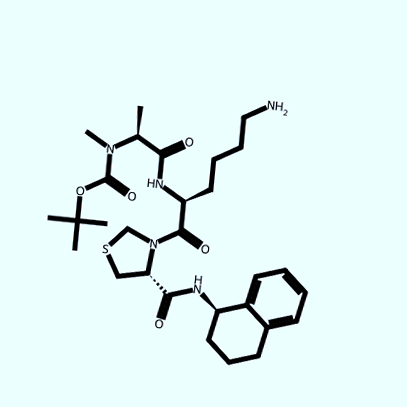 C[C@@H](C(=O)N[C@@H](CCCCN)C(=O)N1CSC[C@H]1C(=O)N[C@@H]1CCCc2ccccc21)N(C)C(=O)OC(C)(C)C